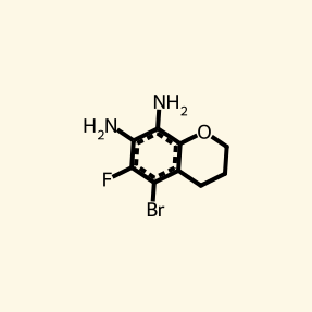 Nc1c(N)c2c(c(Br)c1F)CCCO2